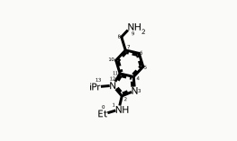 CCNc1nc2ccc(CN)cc2n1C(C)C